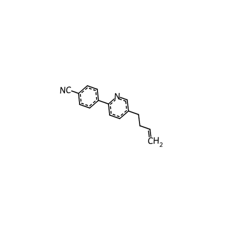 C=CCCc1ccc(-c2ccc(C#N)cc2)nc1